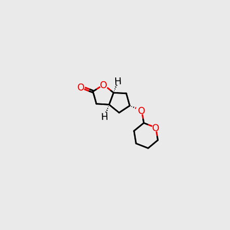 O=C1C[C@@H]2C[C@@H](OC3CCCCO3)C[C@@H]2O1